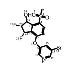 CS(=O)(=O)c1ccc(Oc2cncc(Br)c2)c2c1[C@H](O)[C@H](F)[C@@H]2F